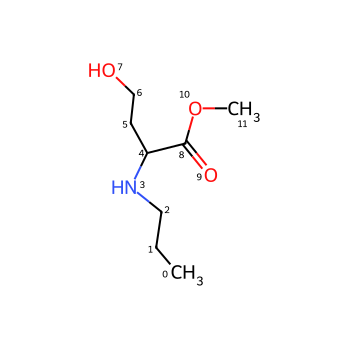 CCCNC(CCO)C(=O)OC